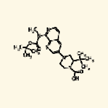 CN(C(=O)OC(C)(C)C)c1nccc2cc(N3CCN(C(=O)O)C(C(C)(C)C)C3)cnc12